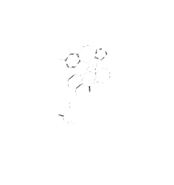 COC(=O)OCOC1=C2C(=O)N3CCOC[C@H]3N([C@@H]3c4ccsc4SCc4c3ccc(F)c4F)N2C=CC1